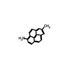 Cc1cc2ccc3ccc(N)c4ccc(c1)c2c34